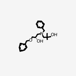 CC(C)(CO)CN(Cc1ccccc1)C[C@H](O)COCc1ccccc1